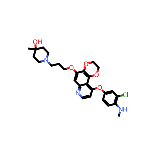 CNc1ccc(Oc2ccnc3cc(OCCCN4CCC(C)(O)CC4)c4c(c23)OCCO4)cc1Cl